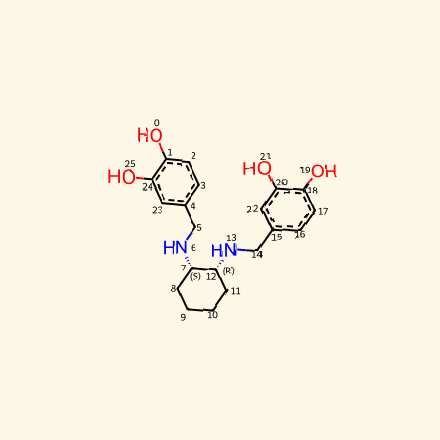 Oc1ccc(CN[C@H]2CCCC[C@H]2NCc2ccc(O)c(O)c2)cc1O